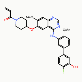 C=CC(=O)N1CCC(Oc2cc3c(Nc4cc(-c5ccc(F)c(O)c5)ccc4OC)ncnc3cc2OC)CC1